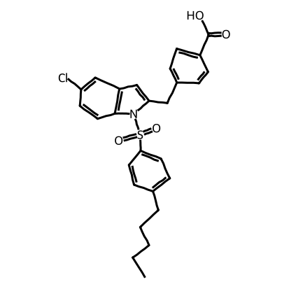 CCCCCc1ccc(S(=O)(=O)n2c(Cc3ccc(C(=O)O)cc3)cc3cc(Cl)ccc32)cc1